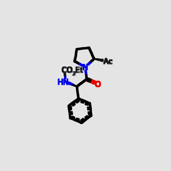 CCOC(=O)N[C@@H](C(=O)N1CCC[C@H]1C(C)=O)c1ccccc1